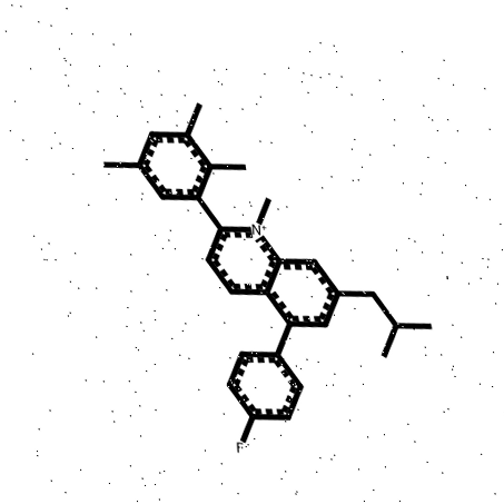 Cc1cc(C)c(C)c(-c2ccc3c(-c4ccc(F)cc4)cc(CC(C)C)cc3[n+]2C)c1